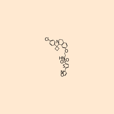 O=S(=O)(NCCOc1ccc2c(c1)C(C1(c3ccc(Cl)cc3)CCC1)=NCC2)c1ccc(-c2ccon2)s1